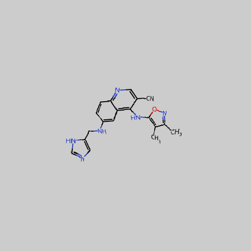 Cc1noc(Nc2c(C#N)cnc3ccc(NCc4cnc[nH]4)cc23)c1C